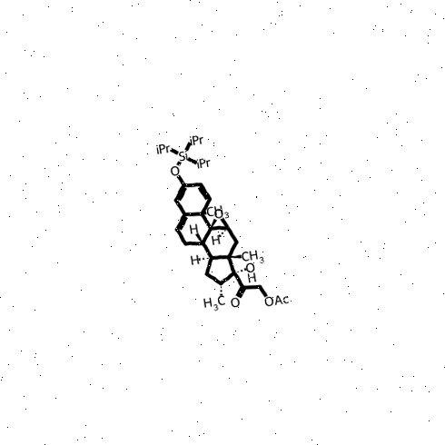 CC(=O)OCC(=O)[C@@]1(O)[C@H](C)C[C@H]2[C@@H]3CC=C4C=C(O[Si](C(C)C)(C(C)C)C(C)C)C=C[C@]4(C)[C@@]34O[C@H]4C[C@@]21C